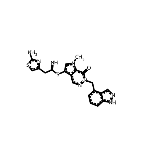 Cn1cc(SC(=N)Cc2csc(N)n2)c2cnn(Cc3cccc4[nH]ncc34)c(=O)c21